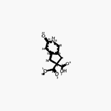 COC(=O)C1(C(=O)O)Cc2c[nH]c(=O)cc2C1